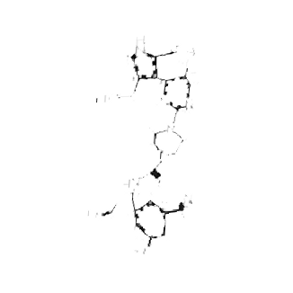 Cc1[nH]nc(CO)c1-c1nc(N2CCN(C(=O)N[C@@H](CC=N)c3cc(F)cc(C#N)c3)CC2)ncc1F